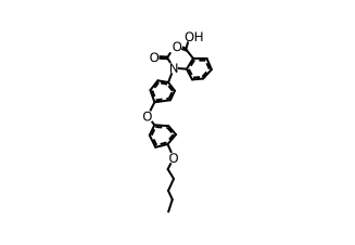 CCCCCOc1ccc(Oc2ccc(N(C(C)=O)c3ccccc3C(=O)O)cc2)cc1